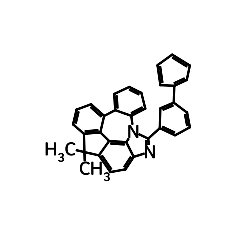 CC1(C)c2cccc3c2-c2c1ccc1nc(-c4cccc(-c5ccccc5)c4)n(c21)-c1ccccc1-3